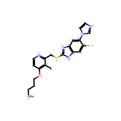 COCCCOc1ccnc(CSc2nc3cc(-n4ccnc4)c(F)cc3[nH]2)c1C